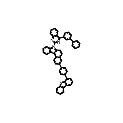 c1ccc(-c2cccc(-c3nc(-n4c5ccccc5c5c6ccc(-c7ccc(-c8cccc9c8sc8ccccc89)cc7)cc6ccc54)nc4ccccc34)c2)cc1